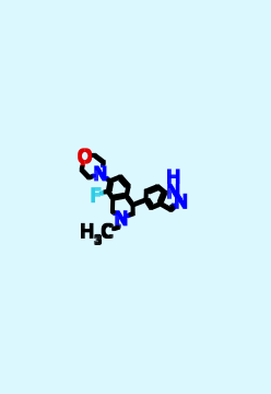 CCN1Cc2c(ccc(N3CCOCC3)c2F)C(c2ccc3[nH]ncc3c2)C1